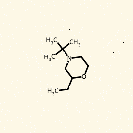 CCC1CN(C(C)(C)C)CCO1